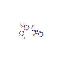 COc1ccc(C(=O)CNC(=O)c2ccncn2)nc1-c1ccc(F)c(Cl)c1